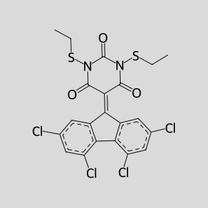 CCSN1C(=O)C(=C2c3cc(Cl)cc(Cl)c3-c3c(Cl)cc(Cl)cc32)C(=O)N(SCC)C1=O